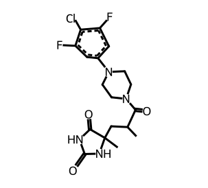 CC(CC1(C)NC(=O)NC1=O)C(=O)N1CCN(c2cc(F)c(Cl)c(F)c2)CC1